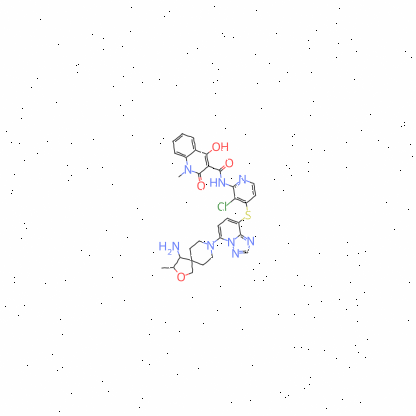 CC1OCC2(CCN(c3ccc(Sc4ccnc(NC(=O)c5c(O)c6ccccc6n(C)c5=O)c4Cl)c4ncnn34)CC2)C1N